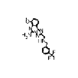 COc1cccc2c1nc(N)n1nc(CNCc3cccc(C(F)(F)F)c3)nc21